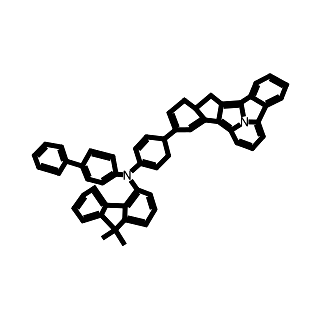 CC1(C)c2ccccc2-c2c(N(C3=CCC(C4=CCC5Cc6c(c7cccc8c9ccccc9c6n78)C5=C4)C=C3)c3ccc(-c4ccccc4)cc3)cccc21